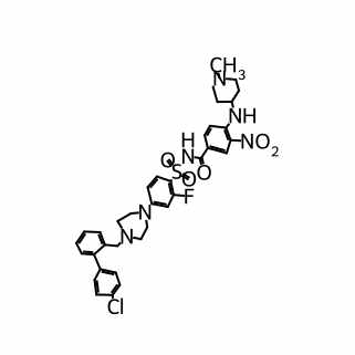 CN1CCC(Nc2ccc(C(=O)NS(=O)(=O)c3ccc(N4CCN(Cc5ccccc5-c5ccc(Cl)cc5)CC4)cc3F)cc2[N+](=O)[O-])CC1